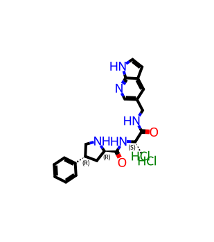 C[C@H](NC(=O)[C@H]1C[C@H](c2ccccc2)CN1)C(=O)NCc1cnc2[nH]ccc2c1.Cl.Cl